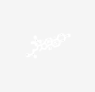 CCCCC(=O)O[C@@]1(C(=O)COC(=O)CC)C(C)C[C@H]2[C@@H]3CCC4=CC(=O)C=C[C@]4(C)[C@@]3(F)C=C[C@@]21C